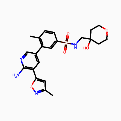 Cc1cc(-c2cc(-c3cc(S(=O)(=O)NCC4(O)CCOCC4)ccc3C)cnc2N)on1